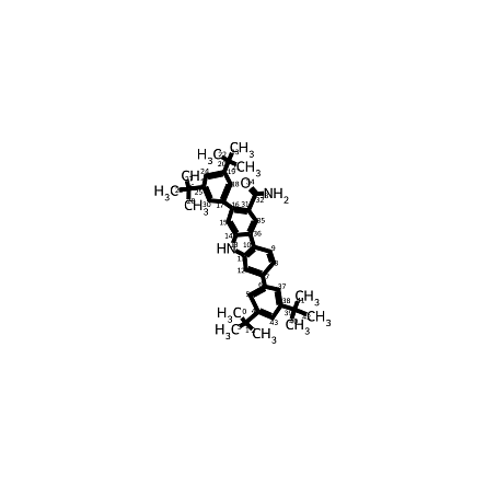 CC(C)(C)c1cc(-c2ccc3c(c2)[nH]c2cc(-c4cc(C(C)(C)C)cc(C(C)(C)C)c4)c(C(N)=O)cc23)cc(C(C)(C)C)c1